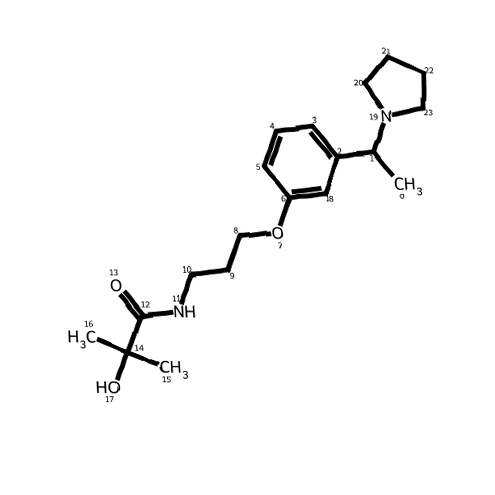 CC(c1cccc(OCCCNC(=O)C(C)(C)O)c1)N1CCCC1